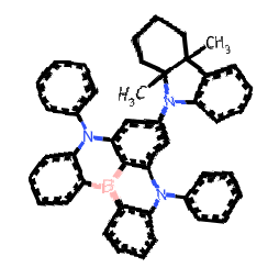 CC12CCCCC1(C)N(c1cc3c4c(c1)N(c1ccccc1)c1ccccc1B4c1ccccc1N3c1ccccc1)c1ccccc12